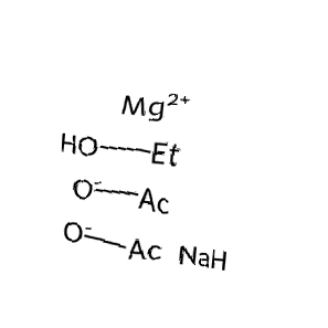 CC(=O)[O-].CC(=O)[O-].CCO.[Mg+2].[NaH]